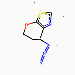 [N-]=[N+]=NC1CCOc2scnc21